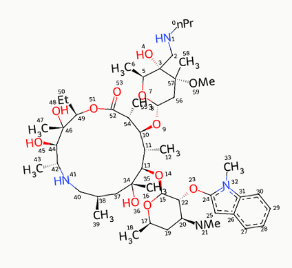 CCCNC[C@]1(O)[C@H](C)O[C@@H](O[C@H]2[C@H](C)[C@@H](O[C@@H]3O[C@H](C)C[C@H](NC)[C@H]3Oc3cc4ccccc4n3C)[C@](C)(O)C[C@@H](C)CN[C@H](C)[C@@H](O)[C@](C)(O)[C@@H](CC)OC(=O)[C@@H]2C)C[C@@]1(C)OC